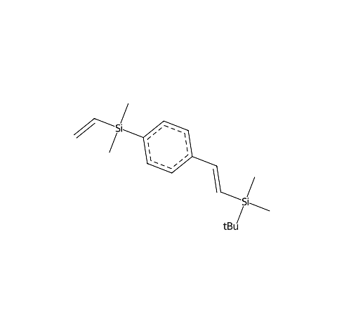 C=C[Si](C)(C)c1ccc(/C=C/[Si](C)(C)C(C)(C)C)cc1